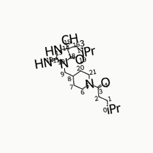 CC(C)CCC(=O)N1CCC(CN2C(=N)NC(C)(CC(C)C)C2=O)CC1